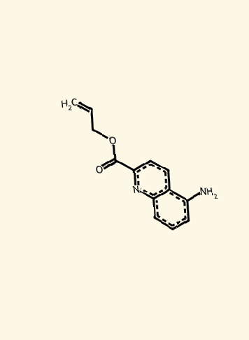 C=CCOC(=O)c1ccc2c(N)cccc2n1